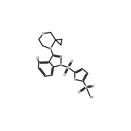 CC(C)S(=O)(=O)c1ccc(S(=O)(=O)n2nc(N3CCOCC34CC4)c3c(Cl)cccc32)s1